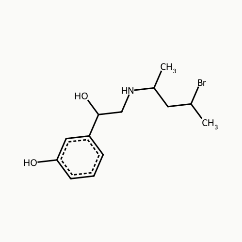 CC(Br)CC(C)NCC(O)c1cccc(O)c1